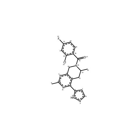 Cc1nc2c(c(-c3ccn[nH]3)n1)CC(C)N(C(=O)c1ccc(F)cc1Cl)C2